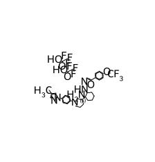 Cc1cnn(-c2ccc(N3CCC[C@H](C4(N)CCCCC4Nc4ncc(-c5ccc(OC(F)(F)F)cc5)o4)C3)cc2)c1.O=C(O)C(F)(F)F.O=C(O)C(F)(F)F